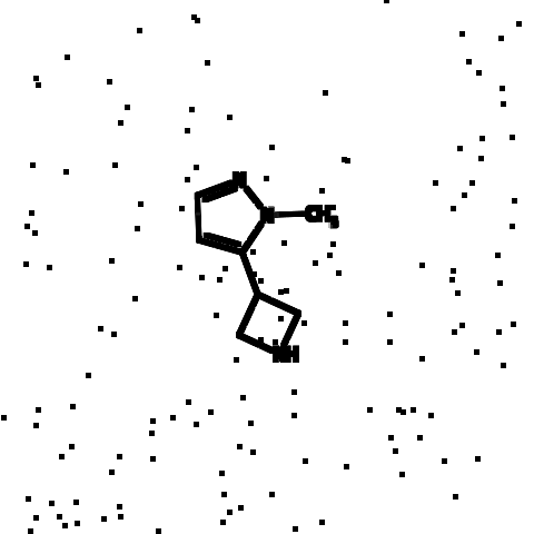 Cn1nccc1C1CNC1